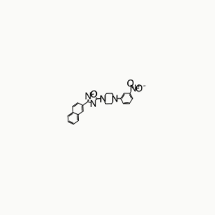 O=[N+]([O-])c1cccc(N2CCN(c3nc(-c4ccc5ccccc5c4)no3)CC2)c1